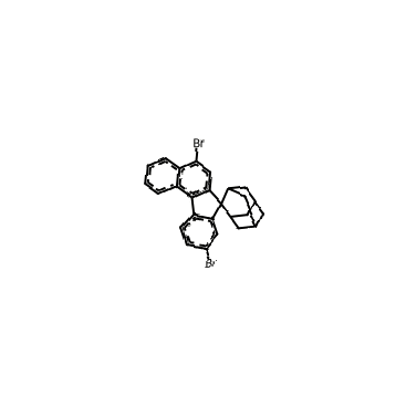 Brc1ccc2c(c1)C1(c3cc(Br)c4ccccc4c3-2)C2CC3CC(C2)CC1C3